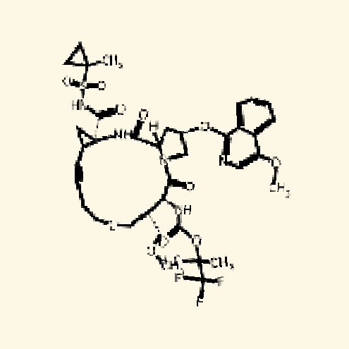 COC[C@@H]1CCCC/C=C\C2C[C@@]2(C(=O)NS(=O)(=O)C2(C)CC2)NC(=O)[C@@H]2C[C@@H](Oc3ncc(OC)c4ccccc34)CN2C(=O)[C@H]1NC(=O)OC(C)(C)C(F)(F)F